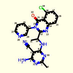 Cc1nc(N)c(C#N)c(NC(C)c2nc3cccc(Cl)c3c(=O)n2-c2cccnc2)n1